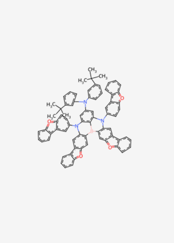 CC(C)(C)c1cccc(N(c2cccc(C(C)(C)C)c2)c2cc3c4c(c2)N(c2ccc5oc6ccccc6c5c2)c2cc5c(cc2B4c2cc4oc6ccccc6c4cc2N3c2ccc3oc4ccccc4c3c2)oc2ccccc25)c1